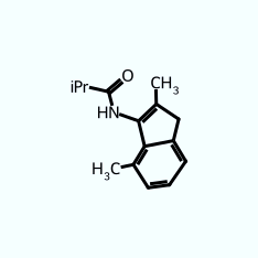 CC1=C(NC(=O)C(C)C)c2c(C)cccc2C1